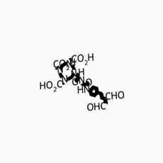 O=C/C=C(C=O)\C=C\c1ccc(NC(=O)CNC(=O)CN2CCN(CC(=O)O)CCN(CC(=O)O)CCN(CC(=O)O)CC2)cc1